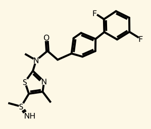 Cc1nc(N(C)C(=O)Cc2ccc(-c3cc(F)ccc3F)cc2)sc1S(C)=N